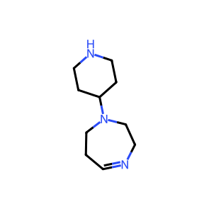 C1=NCCN(C2CCNCC2)CC1